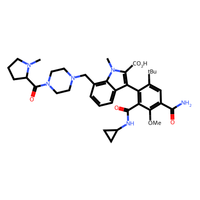 COc1c(C(N)=O)cc(C(C)(C)C)c(-c2c(C(=O)O)n(C)c3c(CN4CCN(C(=O)C5CCCN5C)CC4)cccc23)c1C(=O)NC1CC1